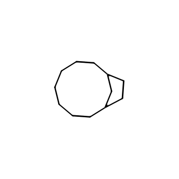 C1CCCC2CCC(CCC1)C2